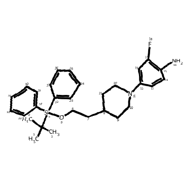 CC(C)(C)[Si](OCCC1CCN(c2ccc(N)c(F)c2)CC1)(c1ccccc1)c1ccccc1